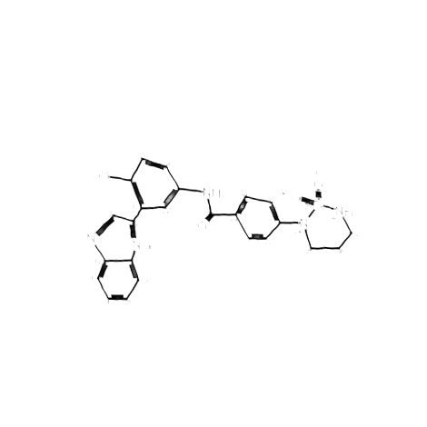 O=C(Nc1ccc(Cl)c(-c2cnc3ccccc3n2)c1)c1ccc(N2CCCNS2(=O)=O)cc1